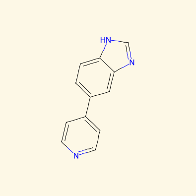 c1cc(-c2ccc3[nH]cnc3c2)ccn1